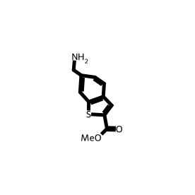 COC(=O)c1cc2ccc(CN)cc2s1